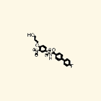 O=C(NS(=O)(=O)c1ccc(OCCCO)c([N+](=O)[O-])c1)c1ccc(-c2ccc(F)cc2)cc1